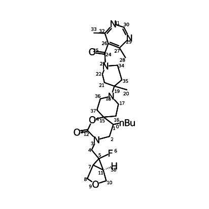 CCCCC1CN(CC2(F)C3COC[C@@H]32)C(=O)OC12CCN(C1(C)CCN(C(=O)c3c(C)ncnc3C)CC1)CC2